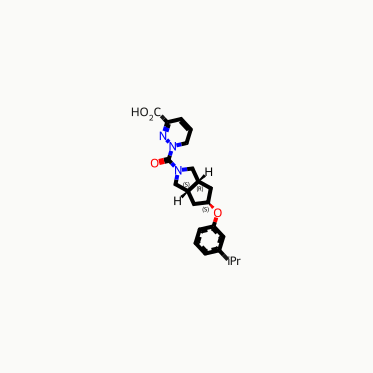 CC(C)c1cccc(O[C@H]2C[C@@H]3CN(C(=O)N4CC=CC(C(=O)O)=N4)C[C@@H]3C2)c1